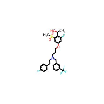 CC(O)c1c(F)cc(OCCCN(CCc2ccc(F)cc2)Cc2cccc(C(F)(F)F)c2)cc1S(C)(=O)=O